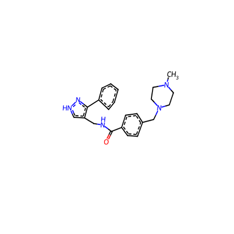 CN1CCN(Cc2ccc(C(=O)NCc3c[nH]nc3-c3ccccc3)cc2)CC1